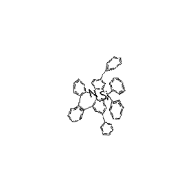 c1ccc(-c2ccc3c(c2)[Si](c2ccccc2)(c2ccccc2)c2cc(-c4ccccc4)cc4c2N3c2ccccc2-c2ccccc2-4)cc1